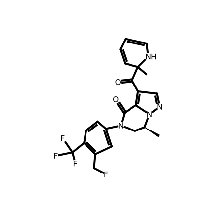 C[C@H]1CN(c2ccc(C(F)(F)F)c(CF)c2)C(=O)c2c(C(=O)C3(C)C=CC=CN3)cnn21